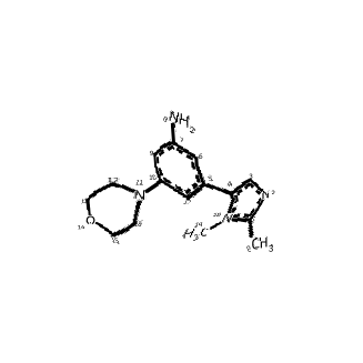 Cc1ncc(-c2cc(N)cc(N3CCOCC3)c2)n1C